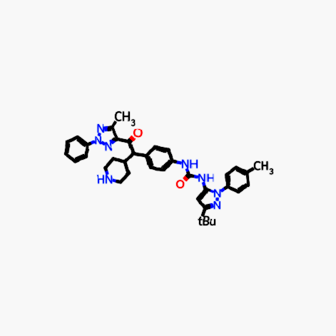 Cc1ccc(-n2nc(C(C)(C)C)cc2NC(=O)Nc2ccc(C(C(=O)c3nn(-c4ccccc4)nc3C)C3CCNCC3)cc2)cc1